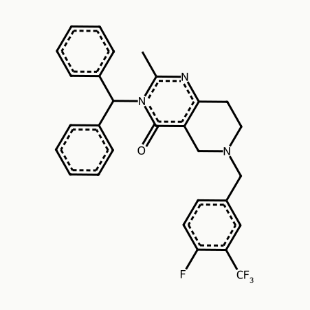 Cc1nc2c(c(=O)n1C(c1ccccc1)c1ccccc1)CN(Cc1ccc(F)c(C(F)(F)F)c1)CC2